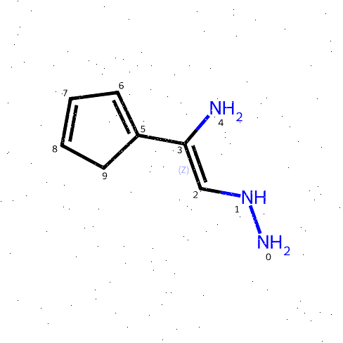 NN/C=C(\N)C1=CC=CC1